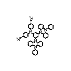 N#Cc1ccc(N(c2ccc(C#N)cc2)c2cc(N3c4ccccc4N(c4ccccc4)c4ccccc43)cc(N3c4ccccc4N(c4ccccc4)c4ccccc43)c2)cc1